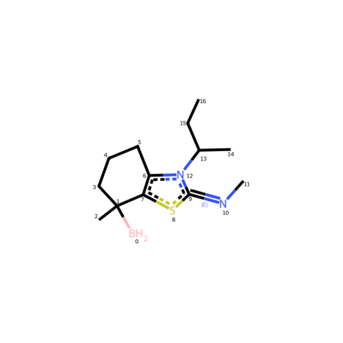 BC1(C)CCCc2c1s/c(=N/C)n2C(C)CC